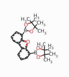 CC1(C)OB(c2cccc3c2oc2c(B4OC(C)(C)C(C)(C)O4)cccc23)OC1(C)C